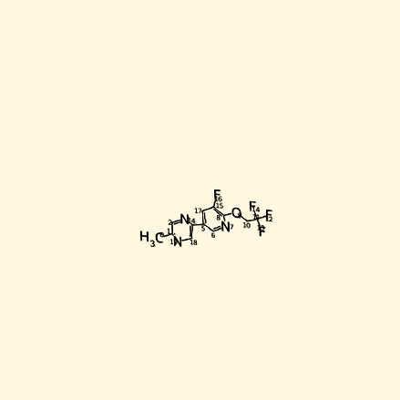 Cc1cnc(-c2cnc(OCC(F)(F)F)c(F)c2)cn1